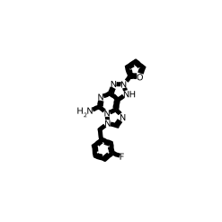 NC1=NC2=NN(c3ccco3)NC2=C2N=CN(Cc3cccc(F)c3)N12